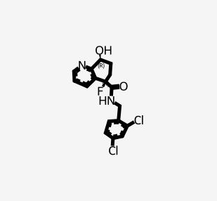 O=C(NCc1ccc(Cl)cc1Cl)[C@@]1(F)CC[C@@H](O)c2ncccc21